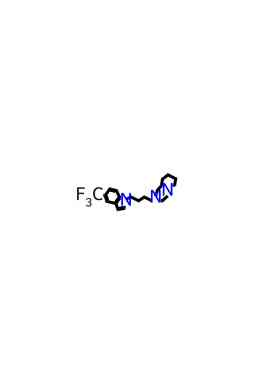 FC(F)(F)c1ccc2c(ccn2CCCCN2CCN3CCCCC3C2)c1